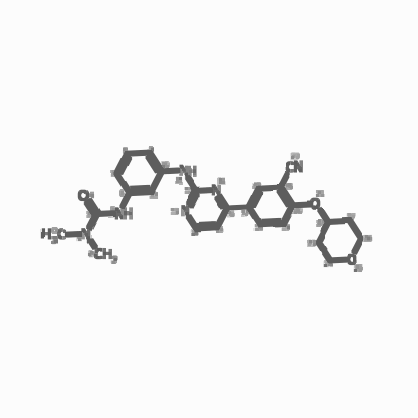 CN(C)C(=O)Nc1cccc(Nc2nccc(-c3ccc(OC4CCOCC4)c(C#N)c3)n2)c1